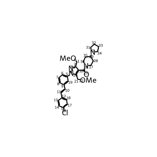 COCc1nn(-c2cccc(C=Cc3ccc(Cl)cc3)c2)c(COC)c1C(=O)N1CCC(N2CCCC2)CC1